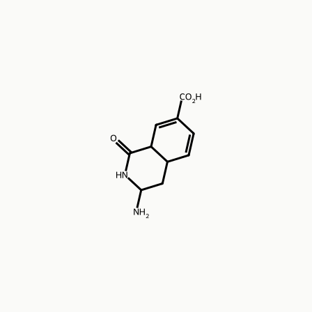 NC1CC2C=CC(C(=O)O)=CC2C(=O)N1